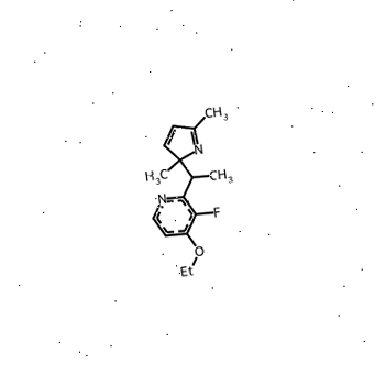 CCOc1ccnc(C(C)C2(C)C=CC(C)=N2)c1F